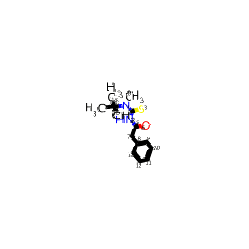 CN(C(=S)NC(=O)Cc1ccccc1)C(C)(C)C